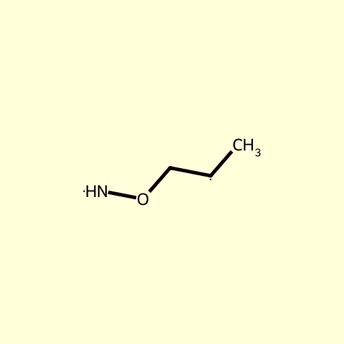 C[CH]CO[NH]